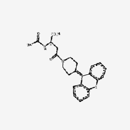 CC(C)(C)C(=O)N[C@H](CC(=O)N1CCC(=C2c3ccccc3Sc3ccccc32)CC1)C(=O)O